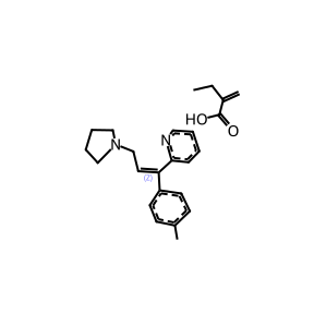 C=C(CC)C(=O)O.Cc1ccc(/C(=C/CN2CCCC2)c2ccccn2)cc1